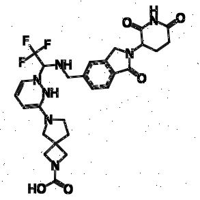 O=C1CCC(N2Cc3cc(CNC(N4C=CC=C(N5CCC6(CN(C(=O)O)C6)C5)N4)C(F)(F)F)ccc3C2=O)C(=O)N1